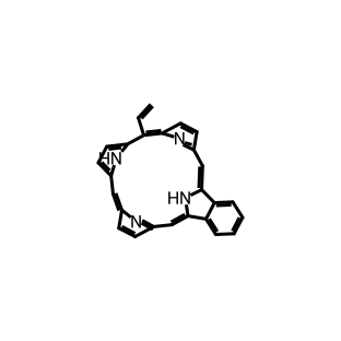 C=Cc1c2nc(cc3[nH]c(cc4nc(cc5ccc1[nH]5)C=C4)c1ccccc31)C=C2